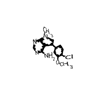 COc1cc(-c2cn(C)c3ncnc(N)c23)ccc1Cl